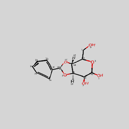 OCC1OC(O)[C@@H](O)[C@H]2OB(c3ccccc3)O[C@H]12